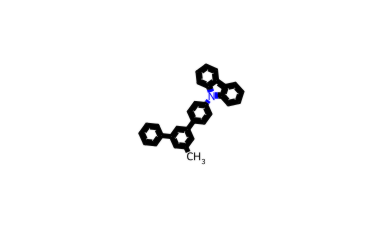 Cc1cc(-c2ccccc2)cc(-c2ccc(-n3c4ccccc4c4ccccc43)cc2)c1